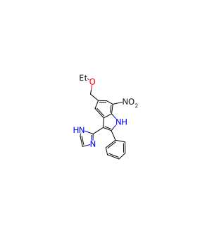 CCOCc1cc([N+](=O)[O-])c2[nH]c(-c3ccccc3)c(-c3ncc[nH]3)c2c1